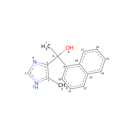 Cc1[nH]cnc1C(C)(O)c1cccc2ccccc12